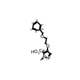 Cn1ncc(OCCOCc2ccccc2)c1C(=O)O